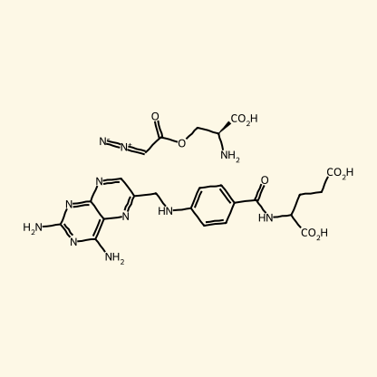 Nc1nc(N)c2nc(CNc3ccc(C(=O)NC(CCC(=O)O)C(=O)O)cc3)cnc2n1.[N-]=[N+]=CC(=O)OC[C@H](N)C(=O)O